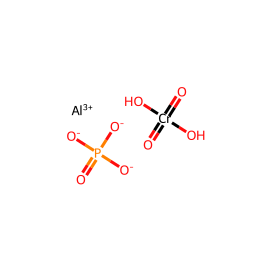 O=P([O-])([O-])[O-].[Al+3].[O]=[Cr](=[O])([OH])[OH]